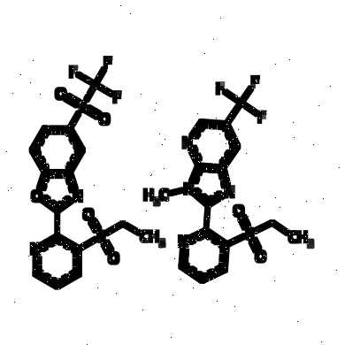 CCS(=O)(=O)c1cccnc1-c1nc2cc(C(F)(F)F)cnc2n1C.CCS(=O)(=O)c1cccnc1-c1nc2cc(S(=O)(=O)C(F)(F)F)ccc2o1